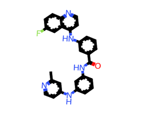 Cc1cc(Nc2cccc(NC(=O)c3cccc(Nc4ccnc5ccc(F)cc45)c3)c2)ccn1